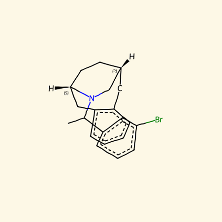 CC(c1cccc(Br)c1)N1C[C@@H]2CC[C@H]1Cc1ccccc1C2